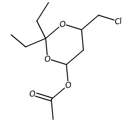 CCC1(CC)OC(CCl)CC(OC(C)=O)O1